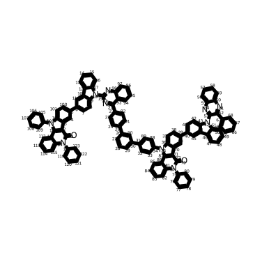 O=c1c2c3cc(-c4ccc5c(c4)c4ccccc4n5-c4nc(-c5ccc(-c6cccc(-c7ccc(-n8c9ccc(-c%10ccc%11c(c%10)c%10ccccc%10n%11-c%10nc%11ccccc%11nc%10-c%10ccccc%10)cc9c9c(=O)n(-c%10ccccc%10)c%10ccccc%10c98)cc7)c6)cc5)c5ccccc5n4)ccc3n(-c3ccccc3)c2c2ccccc2n1-c1ccccc1